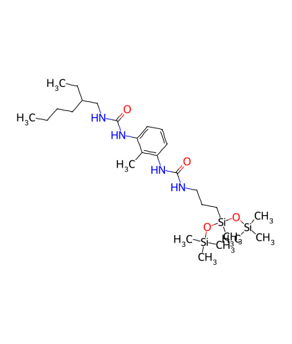 CCCCC(CC)CNC(=O)Nc1cccc(NC(=O)NCCC[Si](C)(O[Si](C)(C)C)O[Si](C)(C)C)c1C